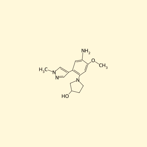 COc1cc(N2CCC(O)C2)c(-c2cnn(C)c2)cc1N